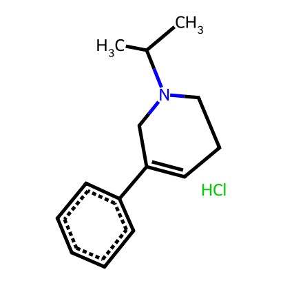 CC(C)N1CCC=C(c2ccccc2)C1.Cl